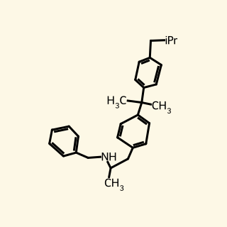 CC(C)Cc1ccc(C(C)(C)c2ccc(CC(C)NCc3ccccc3)cc2)cc1